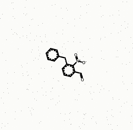 O=Cc1cccc(Cc2ccccc2)c1[N+](=O)[O-]